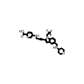 O=C(O)c1ccc(NCC#Cc2cc3cc(CNC4CCOCC4)ccc3n2CC(F)(F)F)cn1